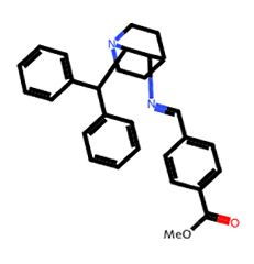 COC(=O)c1ccc(C=NC2C3CCN(CC3)C2C(c2ccccc2)c2ccccc2)cc1